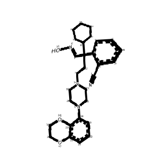 N#Cc1ccccc1C(/C=N/O)(CCN1CCN(c2cccc3c2OCCO3)CC1)C1CCCCC1